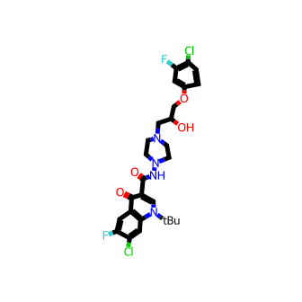 CC(C)(C)n1cc(C(=O)NN2CCN(CC(O)COc3ccc(Cl)c(F)c3)CC2)c(=O)c2cc(F)c(Cl)cc21